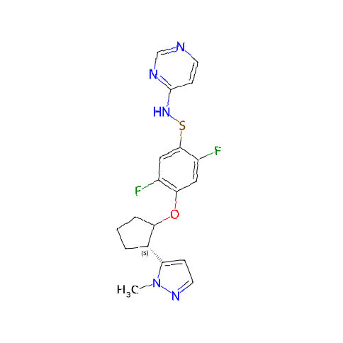 Cn1nccc1[C@@H]1CCCC1Oc1cc(F)c(SNc2ccncn2)cc1F